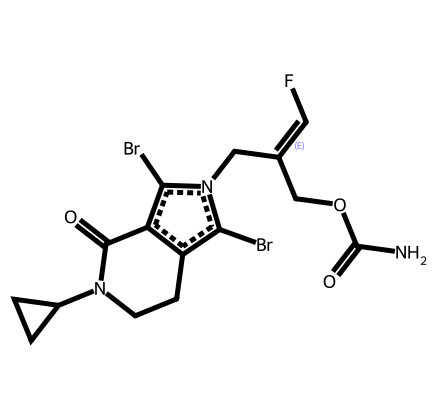 NC(=O)OC/C(=C/F)Cn1c(Br)c2c(c1Br)C(=O)N(C1CC1)CC2